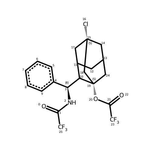 O=C(N[C@@H](c1ccccc1)C1C2CC3C[C@](Cl)(C2)C[C@@]1(OC(=O)C(F)(F)F)C3)C(F)(F)F